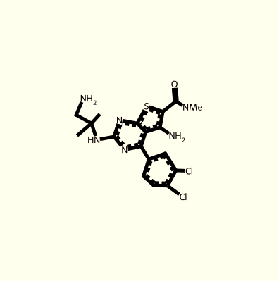 CNC(=O)c1sc2nc(NC(C)(C)CN)nc(-c3ccc(Cl)c(Cl)c3)c2c1N